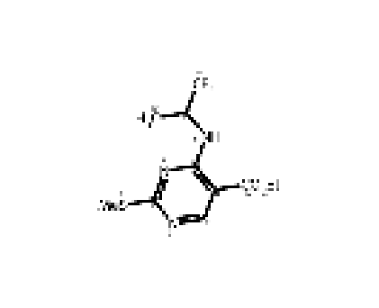 CCOC(=O)c1cnc(SC)nc1NC(C)C(F)(F)F